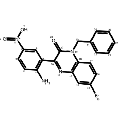 Nc1ccc([N+](=O)O)cc1-c1nc2cc(Br)ccc2n(Cc2ccccc2)c1=O